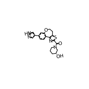 O=C(c1nc2c(s1)CCOc1cc(-c3cn[nH]c3)ccc1-2)N1CCC[C@@H](O)C1